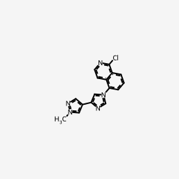 Cn1cc(-c2cn(-c3cccc4c(Cl)nccc34)cn2)cn1